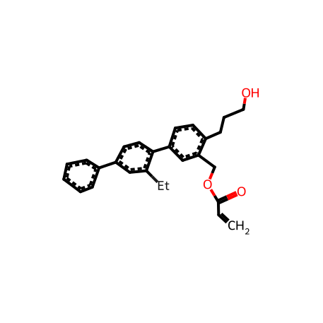 C=CC(=O)OCc1cc(-c2ccc(-c3ccccc3)cc2CC)ccc1CCCO